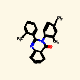 Cc1ccc(-n2c(-c3ccccc3C)nc3ccccc3c2=O)c(C)c1